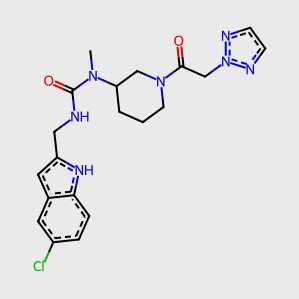 CN(C(=O)NCc1cc2cc(Cl)ccc2[nH]1)C1CCCN(C(=O)Cn2nccn2)C1